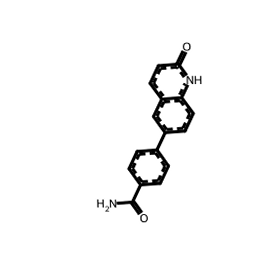 NC(=O)c1ccc(-c2ccc3[nH]c(=O)ccc3c2)cc1